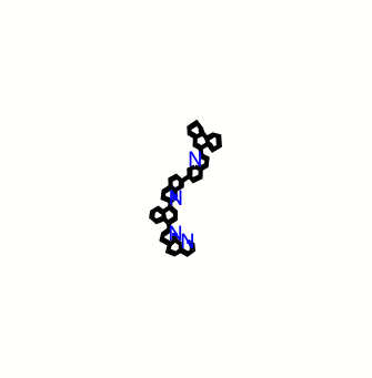 c1ccc2c(c1)cc(-c1ccc3ccc(-c4ccc5ccc(-c6ccc(-c7ccc8ccc9cccnc9c8n7)c7ccccc67)nc5c4)cc3n1)c1ccccc12